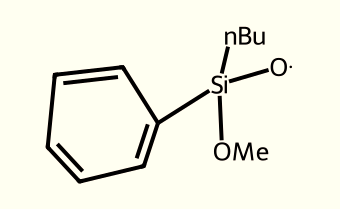 CCCC[Si]([O])(OC)c1ccccc1